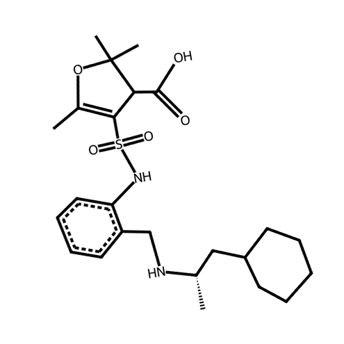 CC1=C(S(=O)(=O)Nc2ccccc2CN[C@@H](C)CC2CCCCC2)C(C(=O)O)C(C)(C)O1